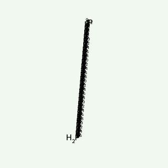 CI(#P)P=PP=PP=PP=PP=PP=PP=PP=PP=PP=PP=PP=PP=PP=PP=PP=PP=PP=PP=PP=PP=PP=PP=PP=PP=PP=PP=PP